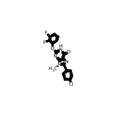 Cn1c(-c2ccc(Cl)cc2)nc2c(=O)[nH]c(Oc3cccc(F)c3F)nc21